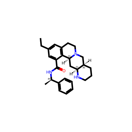 CCc1cc2c(c(C(=O)N[C@H](C)c3ccccc3)c1)[C@@H]1C[C@@H]3NCCC[C@@H]3CN1CC2